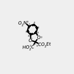 CCOC(=O)C1(C(=O)O)Oc2ccc([N+](=O)[O-])cc2O1